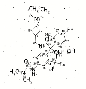 CCN(CC)C1CC(CN2C(=O)C(O)(c3c(F)cc(F)cc3F)c3c2cc(NC(=O)N(C)C)cc3C(F)(F)F)C1.Cl